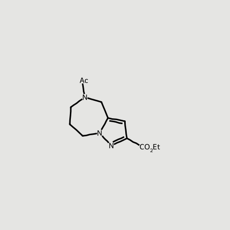 CCOC(=O)c1cc2n(n1)CCCN(C(C)=O)C2